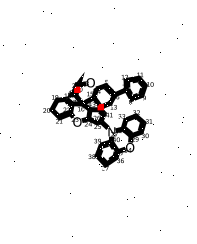 C1=CC2OC3C=C(c4ccccc4)CCC3C3(C4=CCCC=C4OC4CC(N5C6=C(C=CCC6)Oc6ccccc65)C=CC43)C2C=C1